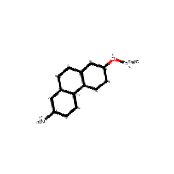 CCCCCOC1CCC2C(CCC3CC(CCCC)CCC32)C1